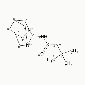 CC(C)(C)NC(=O)NC1N2CC3CN(C2)CN1C3